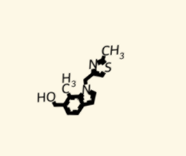 Cc1nc(Cn2ccc3ccc(CO)c(C)c32)cs1